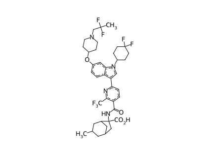 CC1CC2CC(C1)C(NC(=O)c1ccc(-c3cn(C4CCC(F)(F)CC4)c4cc(OC5CCN(CC(C)(F)F)CC5)ccc34)nc1C(F)(F)F)(C(=O)O)C2